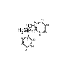 C=C.c1ccc(Pc2ccccc2)cc1